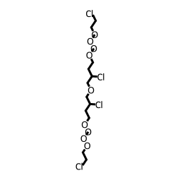 ClCCOOOOCCC(Cl)COCC(Cl)CCOOOOCCCl